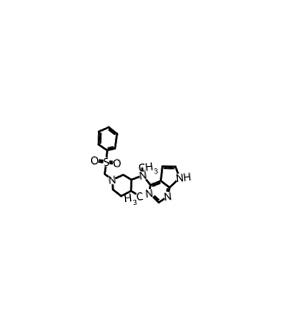 CC1CCN(CS(=O)(=O)c2ccccc2)CC1N(C)c1ncnc2[nH]ccc12